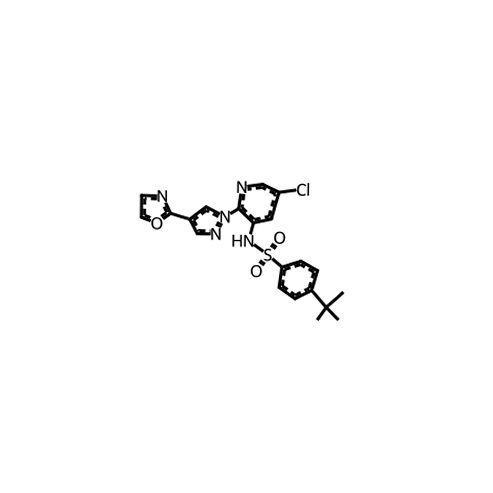 CC(C)(C)c1ccc(S(=O)(=O)Nc2cc(Cl)cnc2-n2cc(-c3ncco3)cn2)cc1